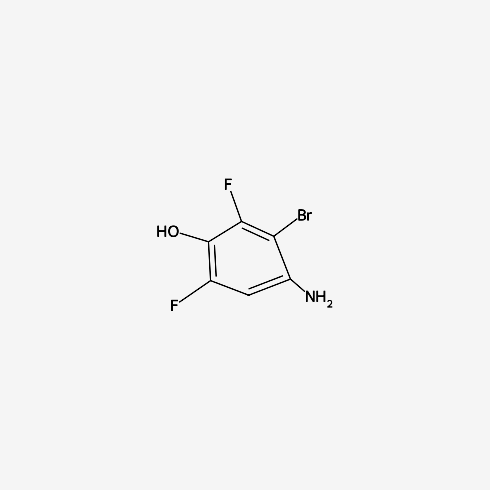 Nc1cc(F)c(O)c(F)c1Br